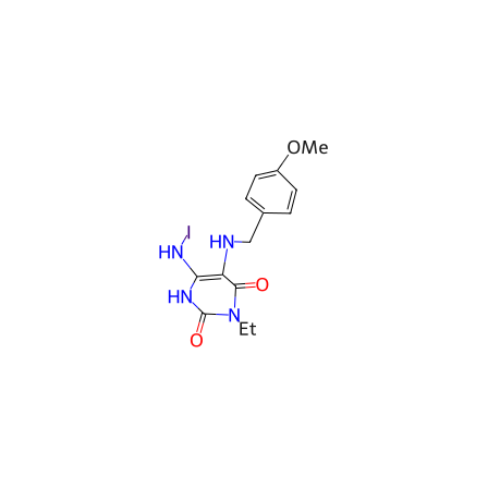 CCn1c(=O)[nH]c(NI)c(NCc2ccc(OC)cc2)c1=O